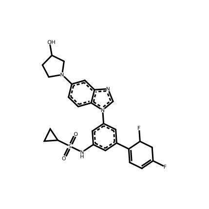 O=S(=O)(Nc1cc(C2=CC=C(F)CC2F)cc(-n2cnc3cc(N4CCC(O)C4)ccc32)c1)C1CC1